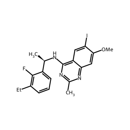 CCc1cccc([C@@H](C)Nc2nc(C)nc3cc(OC)c(I)cc23)c1F